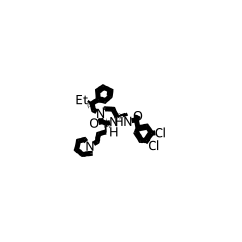 CC[C@H](CN1CC[C@@H](CNC(=O)c2ccc(Cl)c(Cl)c2)N[C@@H](CCCN2CCCCC2)C1=O)c1ccccc1